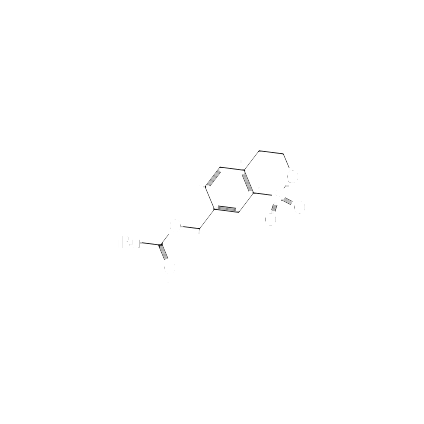 CCC(C)C(=O)OCc1ccc2c(c1)S(=O)(=O)OCC2